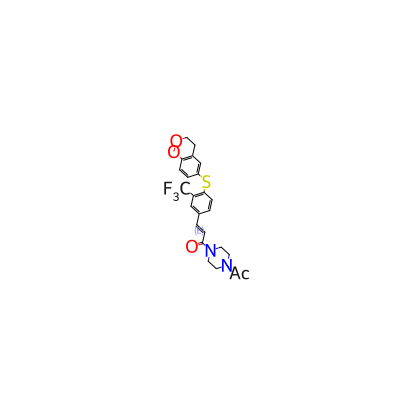 CC(=O)N1CCN(C(=O)/C=C/c2ccc(Sc3ccc4c(c3)CCOO4)c(C(F)(F)F)c2)CC1